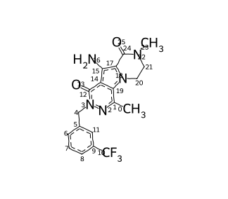 Cc1nn(Cc2cccc(C(F)(F)F)c2)c(=O)c2c(N)c3n(c12)CCN(C)C3=O